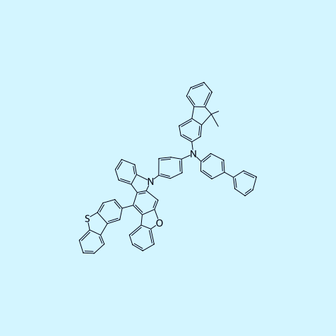 CC1(C)c2ccccc2-c2ccc(N(c3ccc(-c4ccccc4)cc3)c3ccc(-n4c5ccccc5c5c(-c6ccc7sc8ccccc8c7c6)c6c(cc54)oc4ccccc46)cc3)cc21